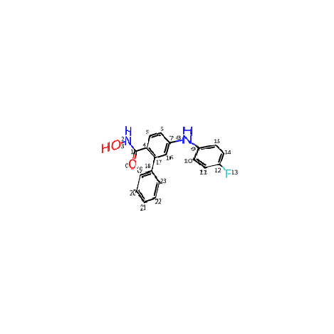 O=C(NO)c1ccc(Nc2ccc(F)cc2)cc1-c1ccccc1